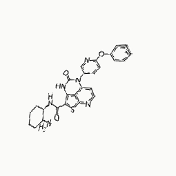 NC1CCCC[C@H]1NC(=O)c1sc2nccc3c2c1NC(=O)N3c1ccc(Oc2ccccc2)nc1